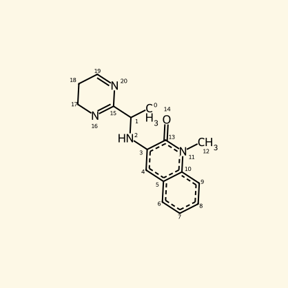 CC(Nc1cc2ccccc2n(C)c1=O)C1=NCCC=N1